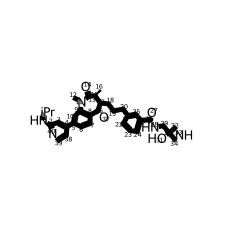 CC(C)Nc1cc(-c2ccc3c(c2)N(C)C(=O)[C@@H](C)C(CCCc2cccc(C(=O)NCC4(O)CNC4)c2)C3=O)ccn1